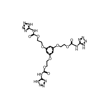 O=C(Nc1nnn[nH]1)OCCOc1cc(OCCOC(=O)Nc2nnn[nH]2)cc(OCCOC(=O)Nc2nnn[nH]2)c1